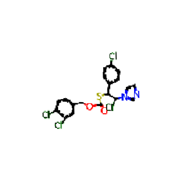 O=C(OCc1ccc(Cl)c(Cl)c1)SC(c1ccc(Cl)cc1)C(Cl)n1ccnc1